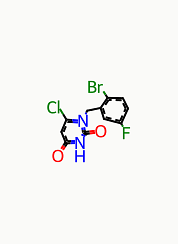 O=c1cc(Cl)n(Cc2cc(F)ccc2Br)c(=O)[nH]1